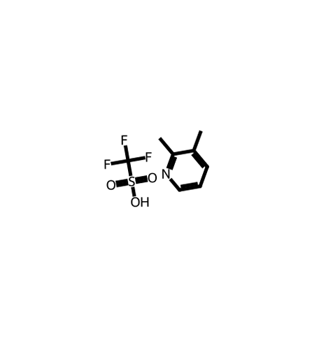 Cc1cccnc1C.O=S(=O)(O)C(F)(F)F